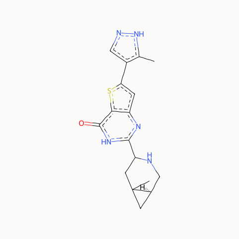 Cc1[nH]ncc1-c1cc2nc(C3CC4(C)C[C@@H]4CN3)[nH]c(=O)c2s1